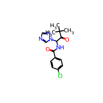 CC(C)(C)C(=O)C(NC(=O)c1ccc(Cl)cc1)n1cncn1